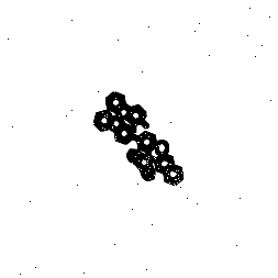 Cc1ccc2c(c1C)C1(c3ccccc3-c3ccc(-c4ccc5c(c4)C4(c6cc7ccccc7cc6O5)c5ccccc5-c5ccccc54)cc31)c1ccccc1-2